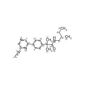 [C-]#[N+]c1cncc(-c2ccc(C(C)(C)C(=O)NC[C@@H](C)CC)cc2)n1